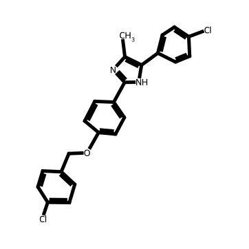 Cc1nc(-c2ccc(OCc3ccc(Cl)cc3)cc2)[nH]c1-c1ccc(Cl)cc1